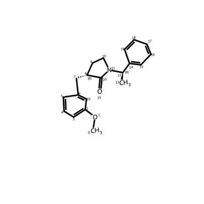 COc1cccc(C[C@@H]2CCN([C@H](C)c3ccccc3)C2=O)c1